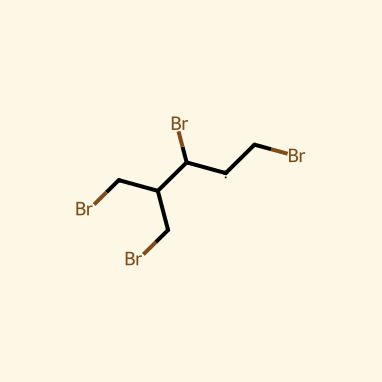 BrC[CH]C(Br)C(CBr)CBr